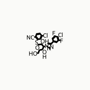 N#Cc1ccc(Cl)cc1SC1OC(CO)C(O)C(n2cc(-c3cc(F)c(Cl)c(F)c3)nn2)C1O